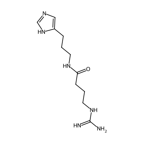 N=C(N)NCCCC(=O)NCCCc1cnc[nH]1